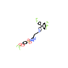 O=S(=O)(c1ccc2c(c1)OC(F)(F)O2)n1cc(CCN2CCC(=C(c3ccc(F)cc3)c3ccc(F)cc3)CC2)nn1